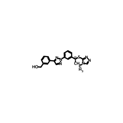 C[C@H](Sc1nncn1C)c1cccc(-n2ncc(-c3cccc(CO)c3)n2)c1